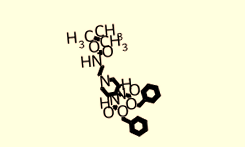 CC(C)(C)OC(=O)NCCN1C[C@H]2C[C@@H](C1)N(C(=O)OCc1ccccc1)N2C(=O)OCc1ccccc1